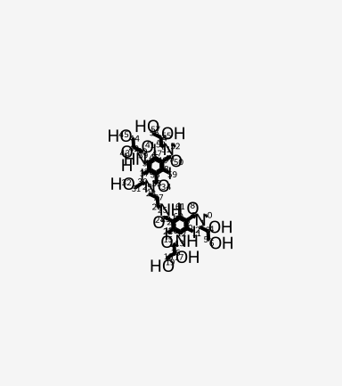 CN(CC(O)CO)C(=O)c1c(I)c(NC(=O)C(O)CO)c(I)c(C(=O)NCCCN(CCO)C(=O)c2c(I)c(NC(=O)C(O)CO)c(I)c(C(=O)N(C)CC(O)CO)c2I)c1I